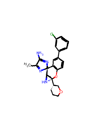 CC1=N[C@]2(N=C1N)c1cc(-c3cccc(Cl)c3)ccc1O[C@]1([C@H]3CCCOC3)NC21